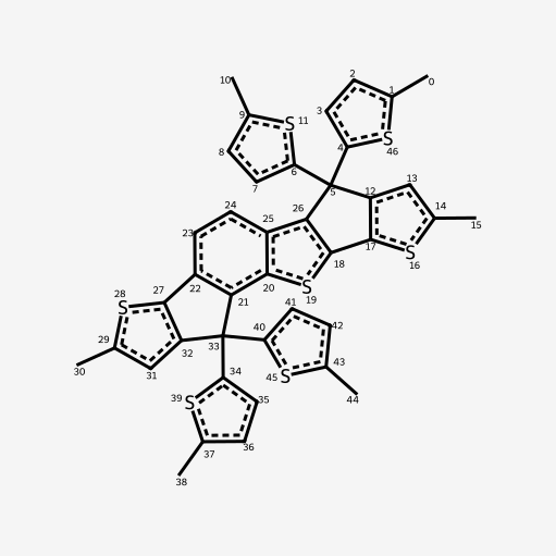 Cc1ccc(C2(c3ccc(C)s3)c3cc(C)sc3-c3sc4c5c(ccc4c32)-c2sc(C)cc2C5(c2ccc(C)s2)c2ccc(C)s2)s1